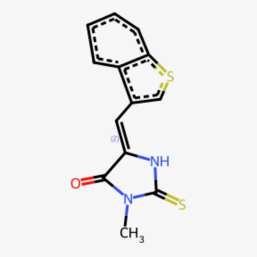 CN1C(=O)/C(=C/c2csc3ccccc23)NC1=S